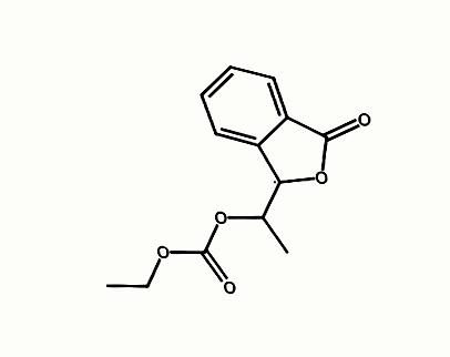 CCOC(=O)OC(C)[C]1OC(=O)c2ccccc21